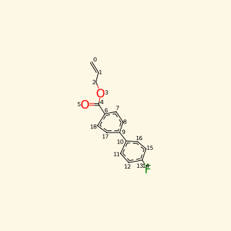 C=CCOC(=O)c1ccc(-c2ccc(F)cc2)cc1